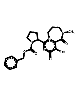 CN1CCCn2c(C3CCCN3C(=O)OCc3ccccc3)nc(=O)c(O)c2C1=O